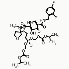 CNC1(N(CCP(=O)(OCOC(=O)OC(C)C)OCOC(=O)OC(C)C)C(=O)c2[nH]cc(C(=O)NCc3ccc(F)cc3F)c(=O)c2O)CCOC1